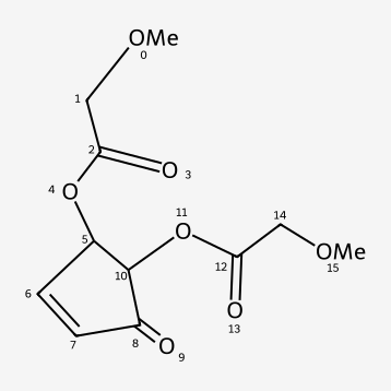 COCC(=O)OC1C=CC(=O)C1OC(=O)COC